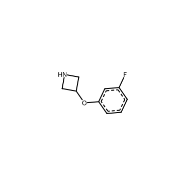 Fc1cccc(OC2CNC2)c1